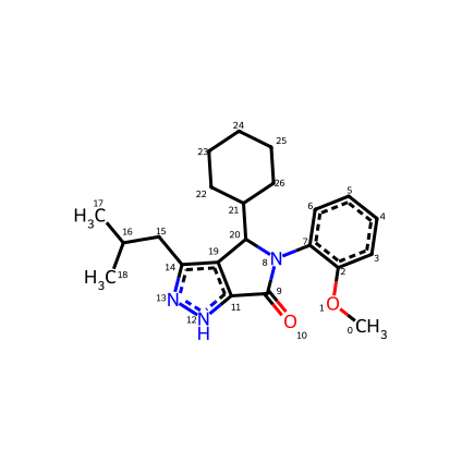 COc1ccccc1N1C(=O)c2[nH]nc(CC(C)C)c2C1C1CCCCC1